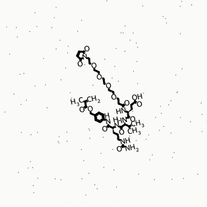 C=C(C)C(=O)OCc1ccc(NC(=O)[C@H](CCCNC(N)=O)NC(=O)[C@@H](NC(=O)[C@H](CCC(=O)O)NC(=O)CCOCCOCCOCCOCCN2C(=O)C=CC2=O)C(C)C)cc1